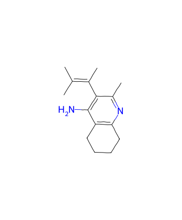 CC(C)=C(C)c1c(C)nc2c(c1N)CCCC2